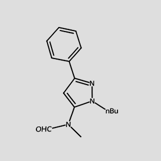 CCCCn1nc(-c2ccccc2)cc1N(C)C=O